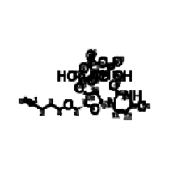 C#CCCCOC[C@H]1O[C@@H](n2ccc(=O)[nH]c2=O)C[C@@H]1OP(=O)(O)OP(=O)(O)OP(=O)(O)O